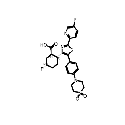 O=C(O)[C@@H]1C[C@@H](F)CC[C@H]1c1nc(-c2ccc(F)cn2)sc1-c1ccc(N2CCS(=O)(=O)CC2)cc1